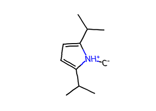 [CH2-][NH+]1C(C(C)C)=CC=C1C(C)C